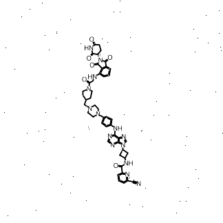 N#Cc1cccc(C(=O)NC2CC(n3cnc4c(Nc5ccc(N6CCN(CC7CCN(C(=O)CNc8cccc9c8C(=O)N([C@H]8CCC(=O)NC8=O)C9=O)CC7)CC6)cc5)ncnc43)C2)n1